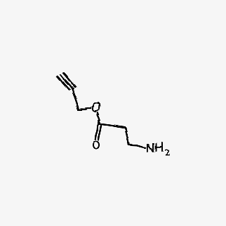 C#CCOC(=O)CCN